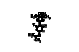 CC(C)Oc1cc(F)c(B2OC(C)(C)C(C)(C)O2)c(F)c1